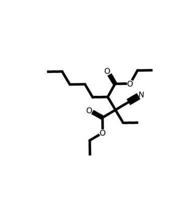 CCCCCC(C(=O)OCC)C(C#N)(CC)C(=O)OCC